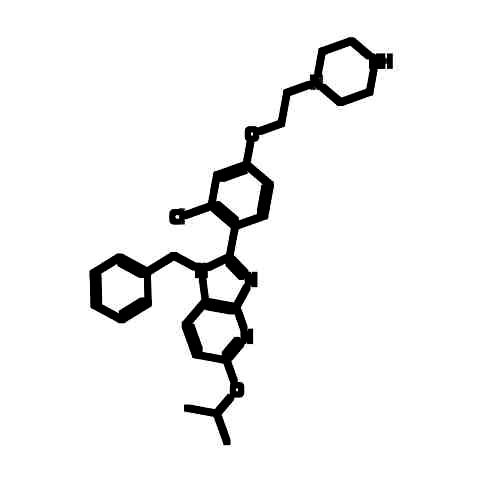 CC(C)Oc1ccc2c(n1)nc(-c1ccc(OCCN3CCNCC3)cc1Cl)n2Cc1ccccc1